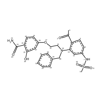 CC(=O)c1ccc(NS(C)(=O)=O)cc1N(CCOc1ccc(C(N)=O)c(O)c1)Cc1ccccc1